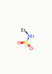 [CH2]CN[SH](=O)=O